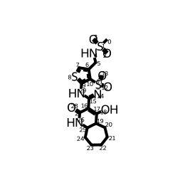 CS(=O)(=O)NCc1csc2c1S(=O)(=O)N=C(C1=C(O)C3CCCCCC3NC1=O)N2